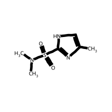 Cc1c[nH]c(S(=O)(=O)N(C)C)n1